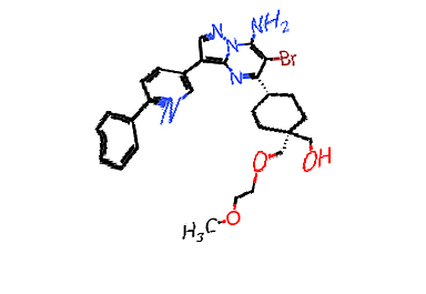 COCCOC[C@]1(CO)CC[C@H](c2nc3c(-c4ccc(-c5ccccc5)nc4)cnn3c(N)c2Br)CC1